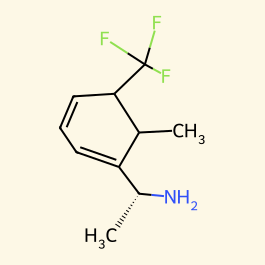 CC1C([C@@H](C)N)=CC=CC1C(F)(F)F